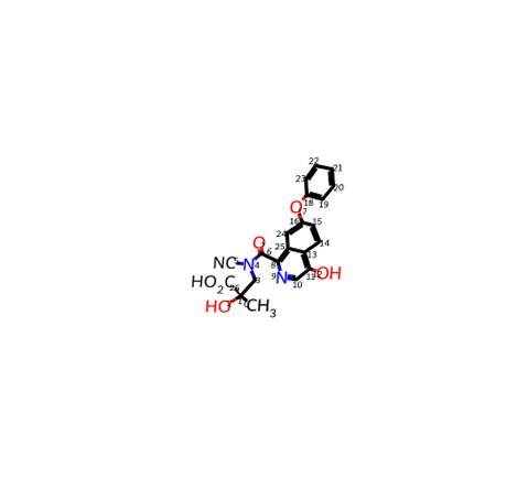 C[C@](O)(CN(C#N)C(=O)c1ncc(O)c2ccc(Oc3ccccc3)cc12)C(=O)O